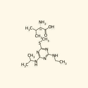 CC(C)[C@H](N)C(=O)O.CCNc1nc(NC(C)C)nc(SC)n1